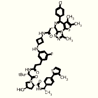 Cc1ccsc1-c1ccc([C@H](C)NC(=O)[C@@H]2C[C@@H](O)CN2C(=O)[C@@H](NC(=O)CCc2cc(F)cc(N[C@H]3C[C@@H](NC(=O)C[C@@H]4N=C(c5ccc(Cl)cc5)c5c(sc(C)c5C)-n5c(C)nnc54)C3)c2)C(C)(C)C)cc1